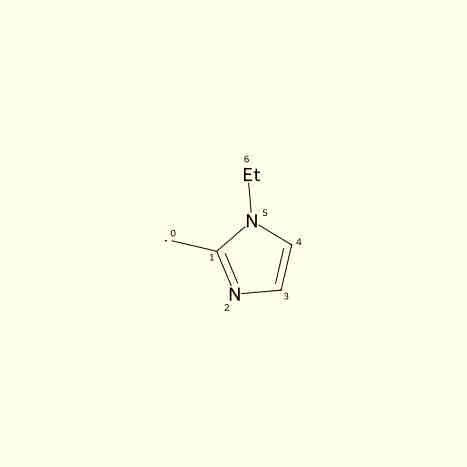 [CH2]c1nccn1CC